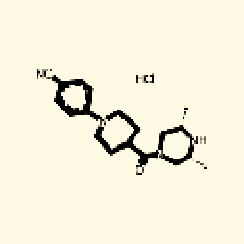 C[C@@H]1CN(C(=O)C2CCN(c3ccc(C#N)cc3)CC2)C[C@H](C)N1.Cl